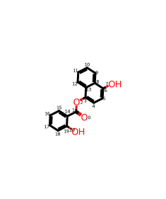 O=C(Oc1ccc(O)c2ccccc12)c1ccccc1O